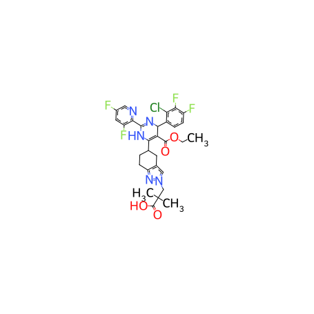 CCOC(=O)C1=C(C2CCc3nn(CC(C)(C)C(=O)O)cc3C2)NC(c2ncc(F)cc2F)=NC1c1ccc(F)c(F)c1Cl